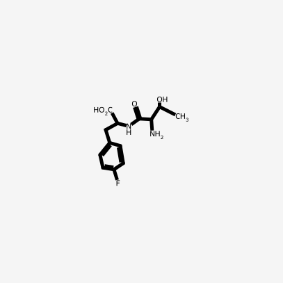 CC(O)C(N)C(=O)NC(Cc1ccc(F)cc1)C(=O)O